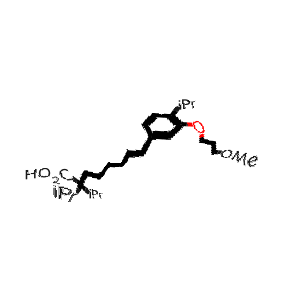 COCCCOc1cc(CCCCCCC(C(=O)O)(C(C)C)C(C)C)ccc1C(C)C